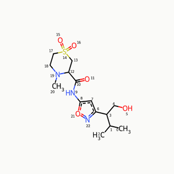 CC(C)C(CO)c1cc(NC(=O)C2CS(=O)(=O)CCN2C)on1